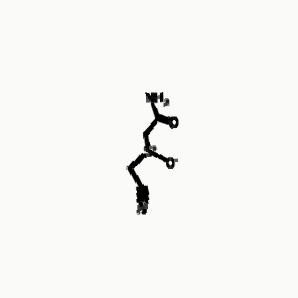 N#CC[S+]([O-])CC(N)=O